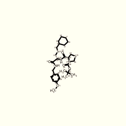 COc1ccc(CNC(=O)[C@H](CSCC2CCCCC2)NC(=O)[C@H]2CSCN2C(=O)OC(C)(C)C)cc1